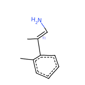 C/C(=C\N)c1ccccc1C